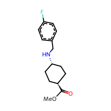 COC(=O)[C@H]1CC[C@H](NCc2ccc(F)cc2)CC1